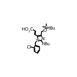 CCCCc1nc(CO[Si](C)(C)C(C)(C)C)c(/C=C/C(=O)O)n1Cc1ccccc1Cl